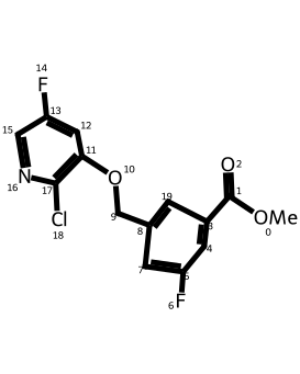 COC(=O)c1cc(F)cc(COc2cc(F)cnc2Cl)c1